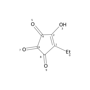 CCc1c(O)c(=O)c(=O)c1=O